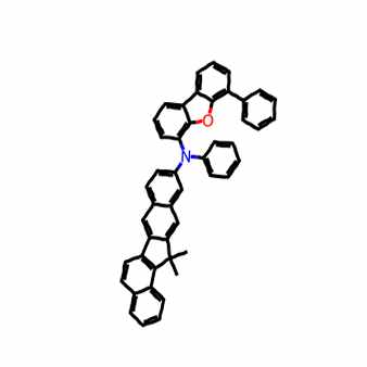 CC1(C)c2cc3cc(N(c4ccccc4)c4cccc5c4oc4c(-c6ccccc6)cccc45)ccc3cc2-c2ccc3ccccc3c21